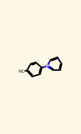 N#Cc1ccc(-[n+]2ccccc2)cc1